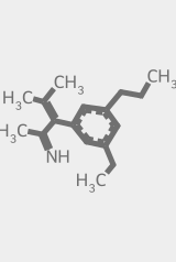 CCCc1cc(CC)cc(C(C(C)=N)=C(C)C)c1